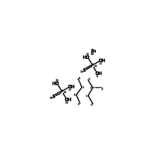 CCC(C)C.CCCC.OP(O)(O)=S.OP(O)(O)=S.[Zn]